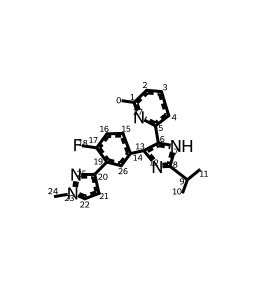 Cc1cccc(-c2[nH]c(C(C)C)nc2-c2ccc(F)c(-c3ccn(C)n3)c2)n1